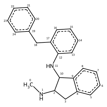 CNC1Cc2ccccc2C1Nc1ccccc1Cc1ccccc1